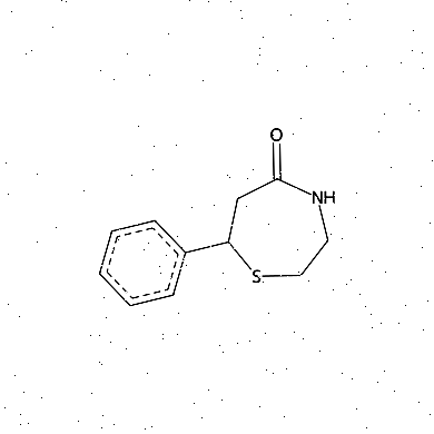 O=C1CC(c2ccccc2)SCCN1